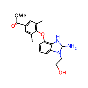 COC(=O)c1cc(C)c(Oc2cccc3c2NC(N)N3CCO)c(C)c1